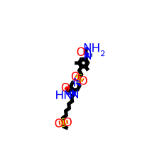 CCS(=O)(=O)CCCCCCC1=NC2(CCN(S(=O)(=O)CCc3c(C)cc(N(C)C(N)=O)cc3C)CC2)C(=O)N1